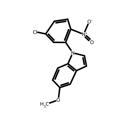 COc1ccc2c(ccn2-c2cc(Cl)ccc2[N+](=O)[O-])c1